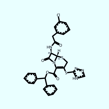 O=C(Cc1cccc(Cl)c1)N[C@@H]1C(=O)N2C(C(=O)OC(c3ccccc3)c3ccccc3)=C(Sc3nnc[nH]3)CS[C@@H]12